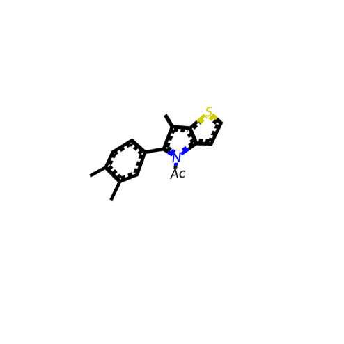 CC(=O)n1c(-c2ccc(C)c(C)c2)c(C)c2sccc21